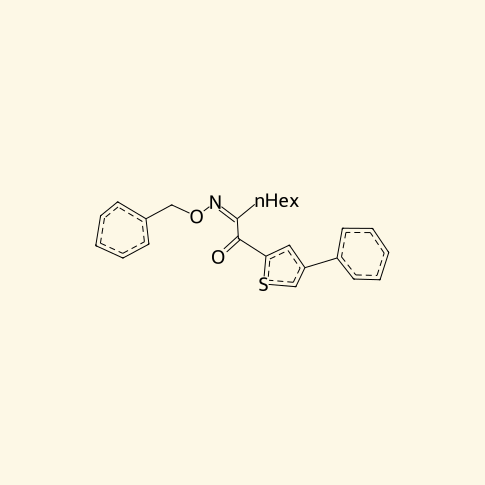 CCCCCCC(=NOCc1ccccc1)C(=O)c1cc(-c2ccccc2)cs1